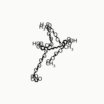 COCCOCCOCCOCC[N+]1=C(/C=C/C=C/C=C/C=C2/N(CCOCCOCCOCCOCCC(=O)ON3C(=O)CCC3=O)c3ccc(S(=O)(=O)O)cc3C2(C)CCOCCOCCOCCOC)C(C)(CCOCCOCCOCCOC)c2cc(S(=O)(=O)O)ccc21